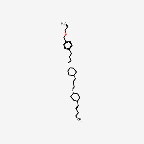 C=CCOCc1ccc(CCCC[C@H]2CC[C@H](CCCC[C@H]3CC[C@H](C=CCCC)CC3)CC2)cc1